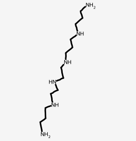 NCCCNCCCNCCNCCNCCCN